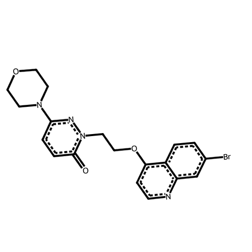 O=c1ccc(N2CCOCC2)nn1CCOc1ccnc2cc(Br)ccc12